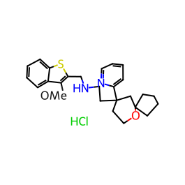 COc1c(CNCCC2(c3ccccn3)CCOC3(CCCC3)C2)sc2ccccc12.Cl